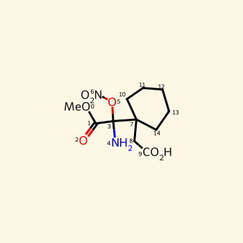 COC(=O)C(N)(O[N+](=O)[O-])C1(CC(=O)O)CCCCC1